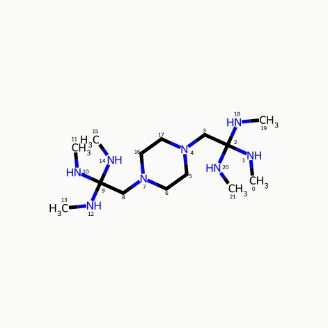 CNC(CN1CCN(CC(NC)(NC)NC)CC1)(NC)NC